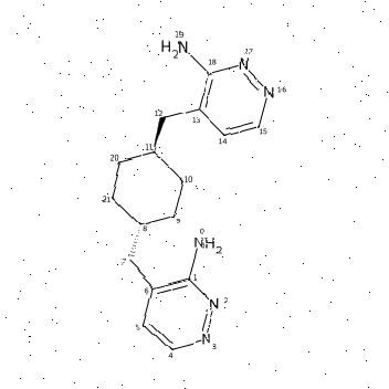 Nc1nnccc1C[C@H]1CC[C@H](Cc2ccnnc2N)CC1